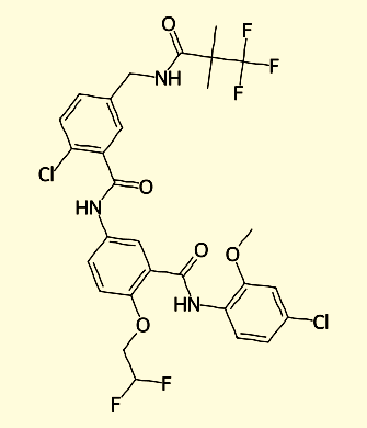 COc1cc(Cl)ccc1NC(=O)c1cc(NC(=O)c2cc(CNC(=O)C(C)(C)C(F)(F)F)ccc2Cl)ccc1OCC(F)F